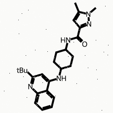 Cc1cc(C(=O)NC2CCC(Nc3cc(C(C)(C)C)nc4ccccc34)CC2)nn1C